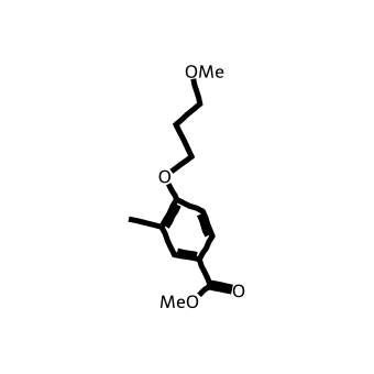 COCCCOc1ccc(C(=O)OC)cc1C